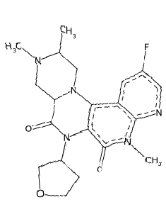 CC1CN2c3c(c(=O)n(C)c4ncc(F)cc34)N(C3CCOC3)C(=O)C2CN1C